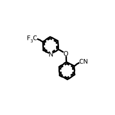 N#Cc1ccccc1Oc1ccc(C(F)(F)F)cn1